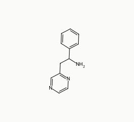 NC(Cc1cnccn1)c1ccccc1